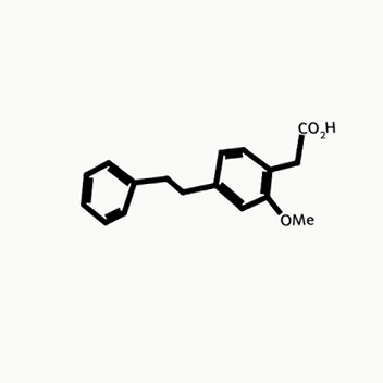 COc1cc(CCc2ccccc2)ccc1CC(=O)O